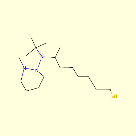 CC(CCCCCCS)N(N1CCCCN1C)C(C)(C)C